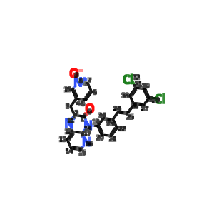 O=c1c(Cc2ccc[n+]([O-])c2)nc2cccnc2n1-c1cccc(C=Cc2cc(Cl)cc(Cl)c2)c1